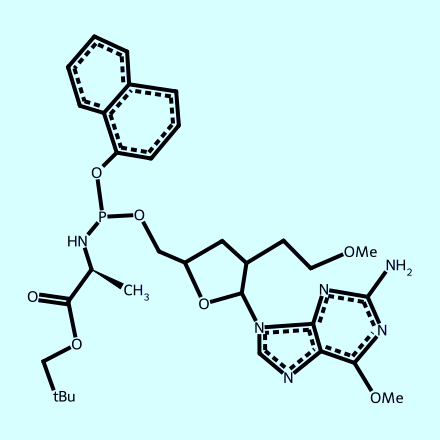 COCCC1CC(COP(N[C@@H](C)C(=O)OCC(C)(C)C)Oc2cccc3ccccc23)OC1n1cnc2c(OC)nc(N)nc21